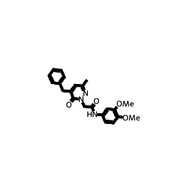 COc1ccc(NC(=O)Cn2nc(C)cc(Cc3ccccc3)c2=O)cc1OC